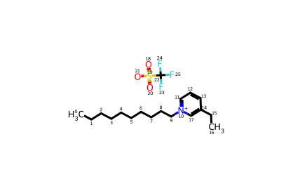 CCCCCCCCCC[n+]1cccc(CC)c1.O=S(=O)([O-])C(F)(F)F